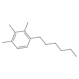 CCCCCCc1ccc(C)c(C)c1C